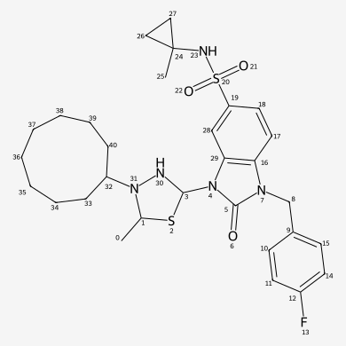 CC1SC(n2c(=O)n(Cc3ccc(F)cc3)c3ccc(S(=O)(=O)NC4(C)CC4)cc32)NN1C1CCCCCCCC1